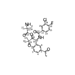 CC(=O)c1ccc2c(c1)[C@H](NC(=O)c1ccc(F)c(Cl)c1)[C@H](OC(=O)C(C)(C)N)C(C)(C)O2